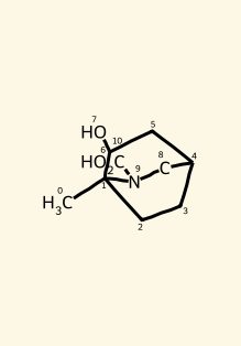 CC12CCC(CC1O)CN2C(=O)O